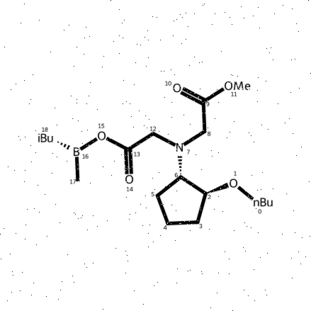 CCCCO[C@H]1CCC[C@@H]1N(CC(=O)OC)CC(=O)OB(C)[C@@H](C)CC